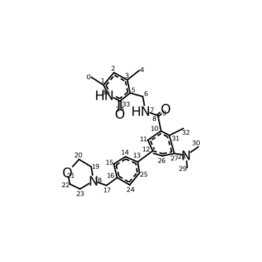 Cc1cc(C)c(CNC(=O)c2cc(-c3ccc(CN4CCOCC4)cc3)cc(N(C)C)c2C)c(=O)[nH]1